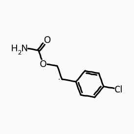 NC(=O)OC[CH]c1ccc(Cl)cc1